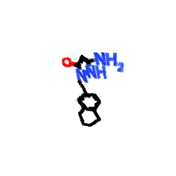 Nc1cc(=O)n(Cc2ccc3c(c2)CCCC3)[nH]1